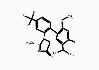 COc1cc(F)c(C(C)C)cc1-c1ccc(C(F)(F)F)cc1[C@H]1OC(=O)N[C@@H]1C